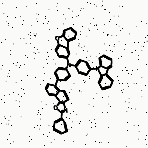 c1ccc(-c2nc3ccc4c(-c5ccc(N(c6ccc(-n7c8ccccc8c8ccccc87)cc6)c6ccc7oc8ccccc8c7c6)cc5)cccc4c3o2)cc1